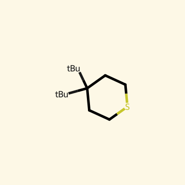 CC(C)(C)C1(C(C)(C)C)CCSCC1